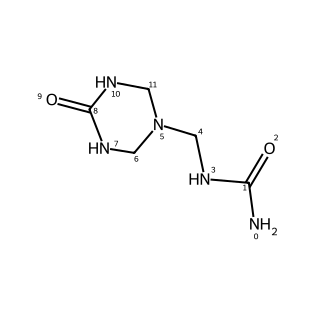 NC(=O)NCN1CNC(=O)NC1